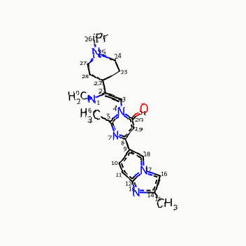 C=N/C(=C\n1c(C)nc(-c2ccc3nc(C)cn3c2)cc1=O)C1CCN(C(C)C)CC1